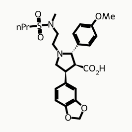 CCCS(=O)(=O)N(C)CCN1C[C@H](c2ccc3c(c2)OCO3)[C@H](C(=O)O)[C@H]1c1ccc(OC)cc1